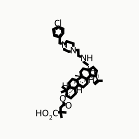 C=C(C)[C@@H]1CC[C@]2(CCNCCN3CCN(Cc4ccc(Cl)cc4)CC3)CC[C@]3(C)[C@H](CC[C@@H]4[C@@]5(C)CC[C@H](OC(=O)CC(C)(C)C(=O)O)C(C)(C)[C@@H]5CC[C@]43C)[C@@H]12